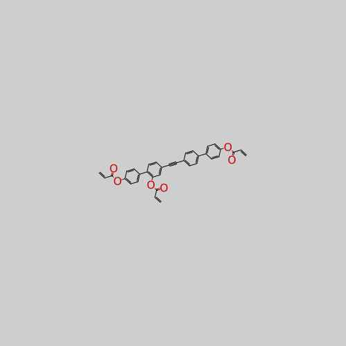 C=CC(=O)Oc1ccc(-c2ccc(C#Cc3ccc(-c4ccc(OC(=O)C=C)cc4)c(OC(=O)C=C)c3)cc2)cc1